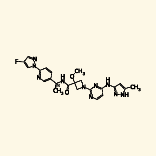 COC1(C(=O)N[C@@H](C)c2ccc(-n3cc(F)cn3)nc2)CN(c2nccc(Nc3cc(C)[nH]n3)n2)C1